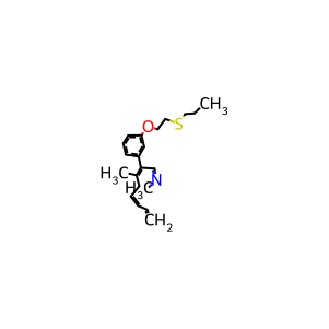 C=C/C=C\C/C(C)=C(\C=N/C)c1cccc(OCCSCCC)c1